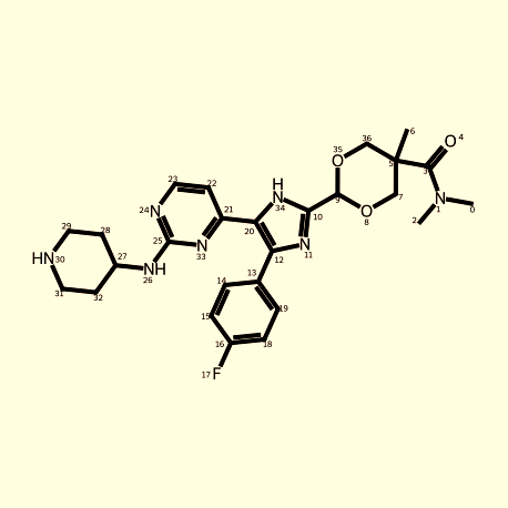 CN(C)C(=O)C1(C)COC(c2nc(-c3ccc(F)cc3)c(-c3ccnc(NC4CCNCC4)n3)[nH]2)OC1